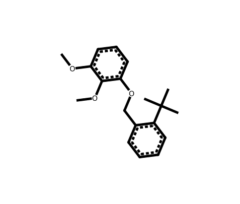 COc1cccc(OCc2ccccc2C(C)(C)C)c1OC